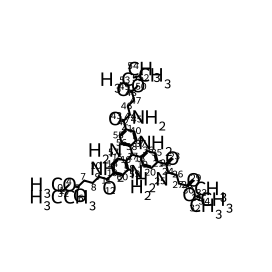 CC(C)(C)OC(=O)CC[C@H](N)C(=O)c1ccc(C(c2ccc(C(=O)[C@@H](N)CCC(=O)OC(C)(C)C)cc2N)c2ccc(C(=O)[C@@H](N)CCC(=O)OC(C)(C)C)cc2N)c(N)c1